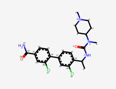 CC(NC(=O)N(C)C1CCN(C)CC1)c1ccc(-c2ccc(C(N)=O)cc2Cl)cc1Cl